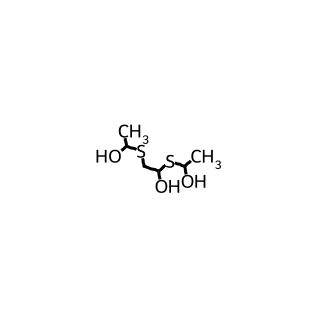 CC(O)SCC(O)SC(C)O